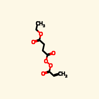 C=CC(=O)OOC(=O)CCC(=O)OCC